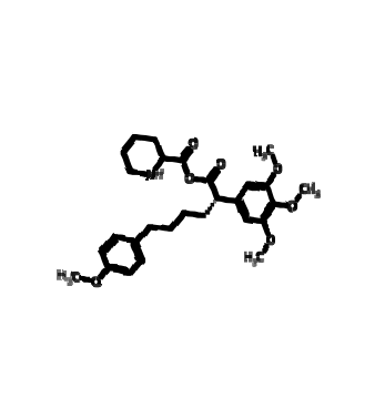 COc1ccc(CCCC[C@H](C(=O)OC(=O)C2CCCCN2)c2cc(OC)c(OC)c(OC)c2)cc1